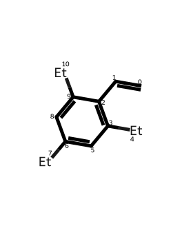 C=Cc1c(CC)cc(CC)cc1CC